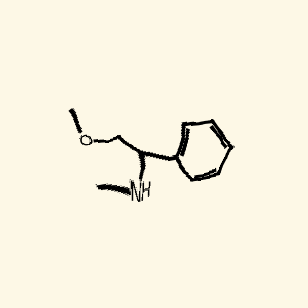 CNC(COC)c1ccccc1